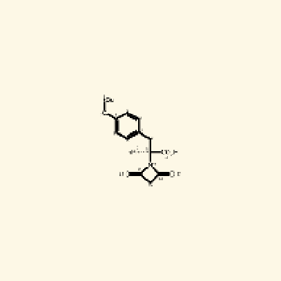 CCC[C@](Cc1ccc(OC(C)(C)C)cc1)(C(=O)O)N1C(=O)CC1=O